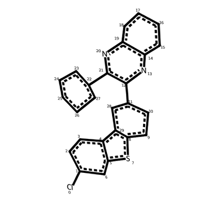 Clc1ccc2c(c1)sc1ccc(-c3nc4ccccc4nc3-c3ccccc3)cc12